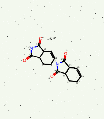 O=C1[N-]C(=O)C2CCC=CC12.O=C1[N-]C(=O)C2CCC=CC12.[Sr+2]